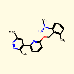 COc1cc(-c2cccc(OCc3c(C)cccc3N(C)N)n2)c(OC)nn1